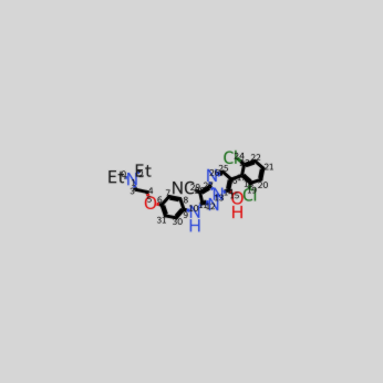 CCN(CC)CCOc1ccc(Nc2nn3c(O)c(-c4c(Cl)cccc4Cl)cnc3c2C#N)cc1